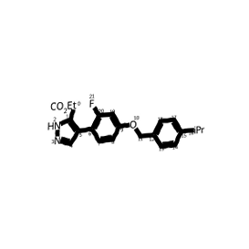 CCOC(=O)c1[nH]ncc1-c1ccc(OCc2ccc(C(C)C)cc2)cc1F